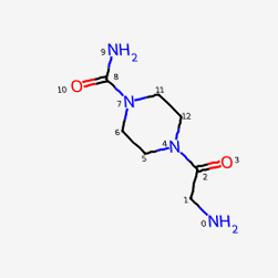 NCC(=O)N1CCN(C(N)=O)CC1